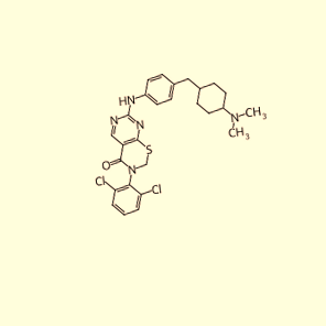 CN(C)C1CCC(Cc2ccc(Nc3ncc4c(n3)SCN(c3c(Cl)cccc3Cl)C4=O)cc2)CC1